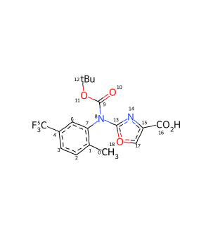 Cc1ccc(C(F)(F)F)cc1N(C(=O)OC(C)(C)C)c1nc(C(=O)O)co1